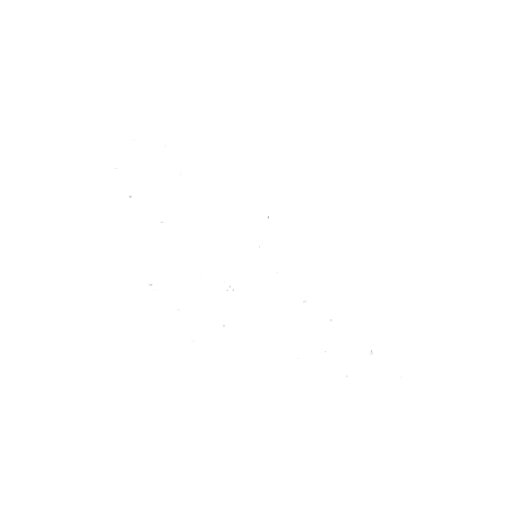 COc1cc(C2(N(CC(=O)O)S(=O)(=O)c3ccc(OC(F)F)cc3)CCC2)c(Cl)cc1-c1ccccc1